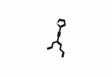 C=CCC=C(C#Cc1cccs1)CC=C